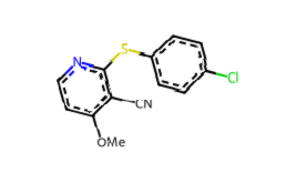 COc1ccnc(Sc2ccc(Cl)cc2)c1C#N